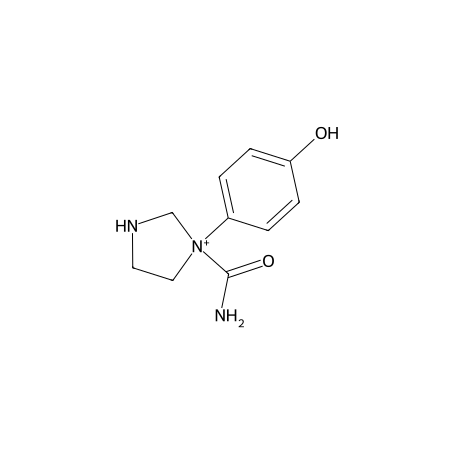 NC(=O)[N+]1(c2ccc(O)cc2)CCNC1